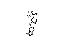 CC(C)(C)c1ccnc(Nc2ccc3cc[nH]c3c2)c1